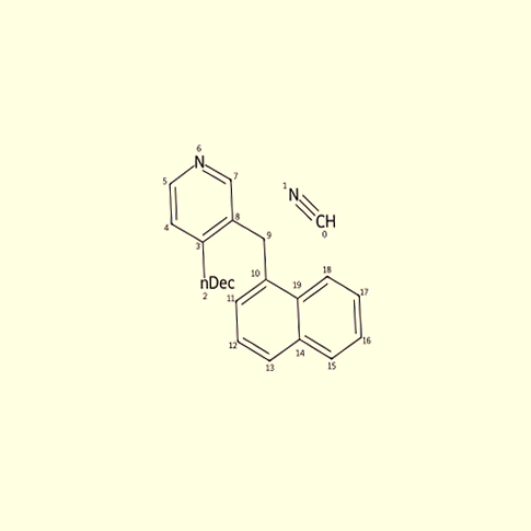 C#N.CCCCCCCCCCc1ccncc1Cc1cccc2ccccc12